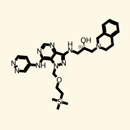 C[Si](C)(C)CCOCn1nc(NC[C@H](O)CN2CCc3ccccc3C2)c2ncnc(Nc3ccnnc3)c21